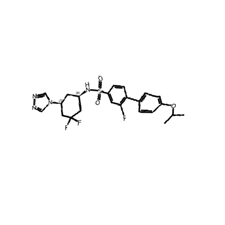 CC(C)Oc1ccc(-c2ccc(S(=O)(=O)N[C@@H]3C[C@H](n4cnnc4)CC(F)(F)C3)cc2F)cc1